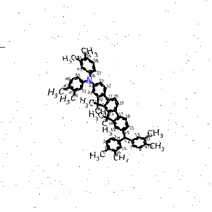 Cc1ccc(C(c2ccc(C)c(C)c2)c2ccc3c(c2)C(C)(C)c2c-3ccc3c2C(C)(C)c2cc(N(c4ccc(C)c(C)c4)c4ccc(C)c(C)c4)ccc2-3)cc1C